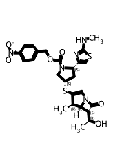 CNc1nc([C@@H]2C[C@H](SC3=CN4C(=O)[C@H]([C@@H](C)O)[C@H]4[C@H]3C)CN2C(=O)OCc2ccc([N+](=O)[O-])cc2)cs1